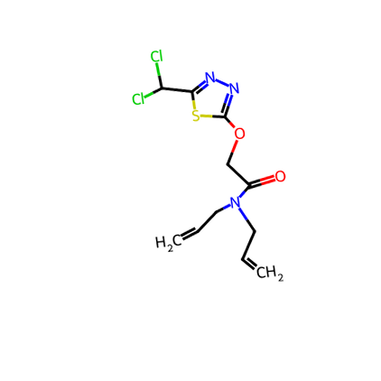 C=CCN(CC=C)C(=O)COc1nnc(C(Cl)Cl)s1